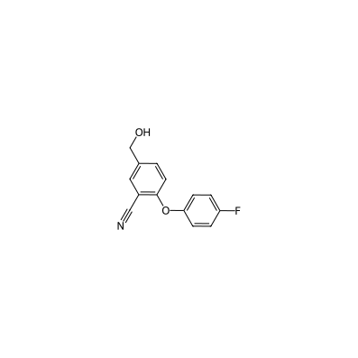 N#Cc1cc(CO)ccc1Oc1ccc(F)cc1